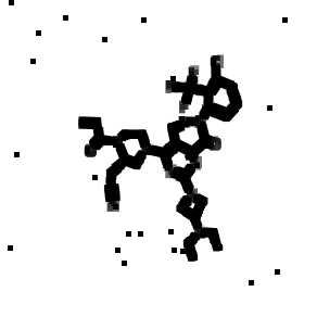 C=CC(=O)N1CCN(c2nc(N3CC(N(CC)CC)C3)nc3c(=O)n(-c4cccc(Cl)c4C(F)(F)F)ncc23)CC1CC#N